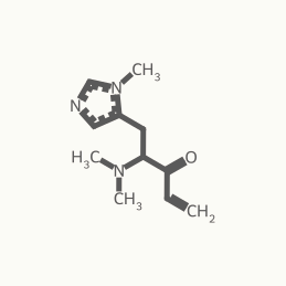 C=CC(=O)C(Cc1cncn1C)N(C)C